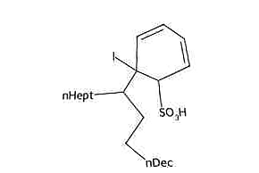 CCCCCCCCCCCCC(CCCCCCC)C1(I)C=CC=CC1S(=O)(=O)O